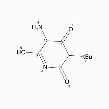 CC(C)(C)C1C(=O)N=C(O)C(N)C1=O